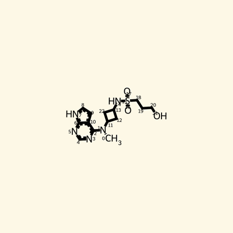 CN(c1ncnc2[nH]ccc12)C1CC(NS(=O)(=O)CCCO)C1